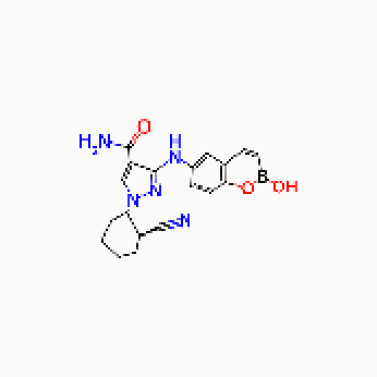 N#C[C@H]1CCCC[C@@H]1n1cc(C(N)=O)c(Nc2ccc3c(c2)C=CB(O)O3)n1